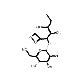 CCC(O)C(O)C(O[C@H]1OC(CO)[C@@H](O)[C@H](O)C1O)C1COO1